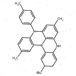 Cc1ccc(N2c3ccc(C)cc3B3C4=CC(C(C)(C)C)CC=C4Nc4cc(C)cc2c43)cc1